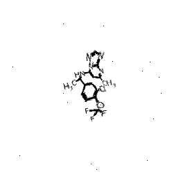 Cc1cc(NC(C)c2ccc(OC(F)(F)F)c(Cl)c2)n2ncnc2n1